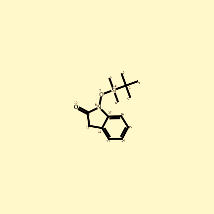 CC(C)(C)[Si](C)(C)ON1C(=O)Cc2ccccc21